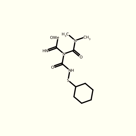 COC(=N)N(C(=O)NSC1CCCCC1)C(=O)N(C)C